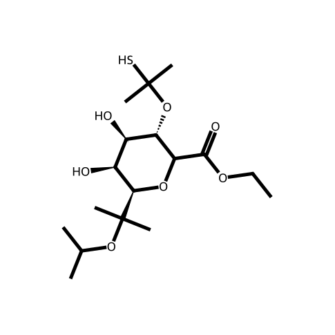 CCOC(=O)C1O[C@@H](C(C)(C)OC(C)C)[C@@H](O)[C@@H](O)[C@@H]1OC(C)(C)S